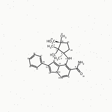 CC1(C)[C@](C)(Nc2c(C(N)=O)cnn3cc(-c4ccccc4)cc23)CC[C@]1(C)C(=O)O